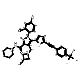 O=C(NN1CCCCC1)c1nn(-c2ccc(Cl)cc2Cl)c(-c2ccc(C#Cc3ccc(C(F)(F)F)cc3)s2)c1CN1CC(F)C1